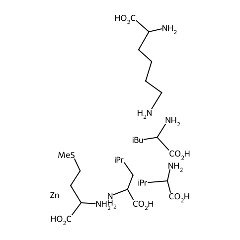 CC(C)C(N)C(=O)O.CC(C)CC(N)C(=O)O.CCC(C)C(N)C(=O)O.CSCCC(N)C(=O)O.NCCCCC(N)C(=O)O.[Zn]